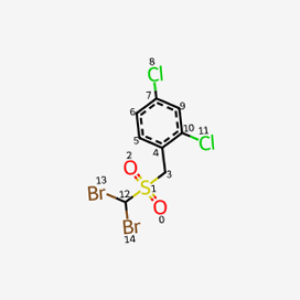 O=S(=O)(Cc1ccc(Cl)cc1Cl)C(Br)Br